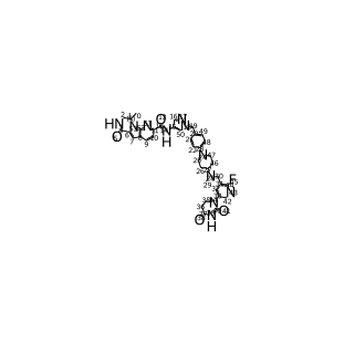 C[C@@H]1CNC(=O)c2cc3ccc(C(=O)Nc4cnn(Cc5ccc(N6CCC(N(C)Cc7cc(N8CCC(=O)NC8=O)cnc7F)CC6)cc5)c4)nc3n21